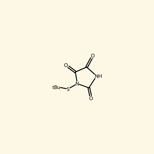 CC(C)(C)SN1C(=O)NC(=O)C1=O